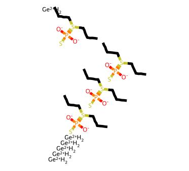 CCCS(CCC)=P([O-])([O-])[S-].CCCS(CCC)=P([O-])([O-])[S-].CCCS(CCC)=P([O-])([O-])[S-].CCCS(CCC)=P([O-])([O-])[S-].[GeH2+2].[GeH2+2].[GeH2+2].[GeH2+2].[GeH2+2].[GeH2+2]